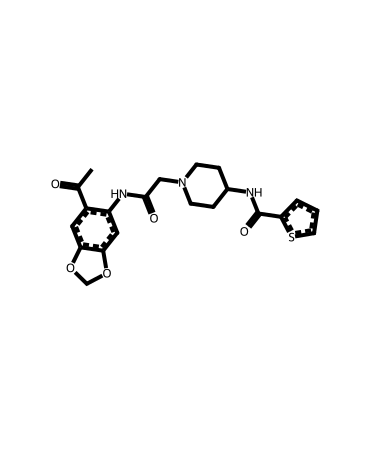 CC(=O)c1cc2c(cc1NC(=O)CN1CCC(NC(=O)c3cccs3)CC1)OCO2